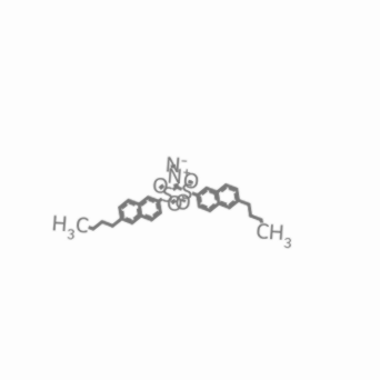 CCCCc1ccc2cc(S(=O)(=O)C(=[N+]=[N-])S(=O)(=O)c3ccc4cc(CCCC)ccc4c3)ccc2c1